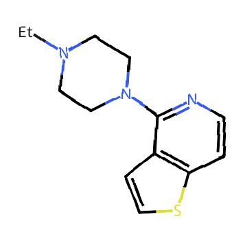 CCN1CCN(c2nccc3sccc23)CC1